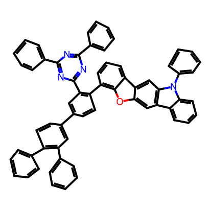 c1ccc(-c2nc(-c3ccccc3)nc(-c3cc(-c4ccc(-c5ccccc5)c(-c5ccccc5)c4)ccc3-c3cccc4c3oc3cc5c6ccccc6n(-c6ccccc6)c5cc34)n2)cc1